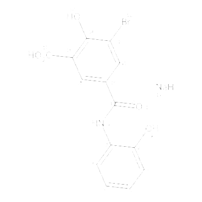 O=C(Nc1ccccc1O)c1cc(Br)c(O)c(C(=O)O)c1.[NaH]